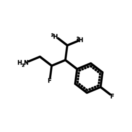 [2H]C([2H])C(c1ccc(F)cc1)C(F)CN